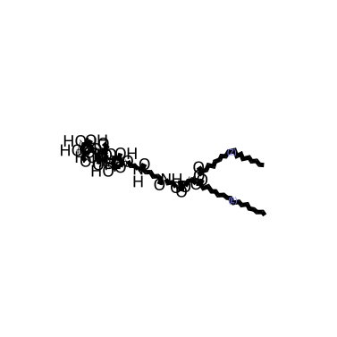 CCCCCCCC/C=C\CCCCCCCC(=O)OC[C@@H](COP(C)(=O)OCCNC(=O)CCCCC(=O)NCCO[C@@H]1OC(CO)[C@@H](O[C@@H]2OC(CO)[C@H](O[C@H]3OC(CO)[C@H](O)[C@H](O)C3O)[C@H](O)C2O)[C@H](O)C1O)OC(=O)CCCCCCC/C=C/CCCCCCCC